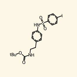 CC(C)(C)OC(=O)NCCc1ccc(NS(=O)(=O)c2ccc(I)cc2)cc1